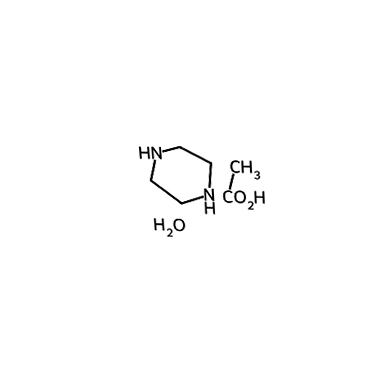 C1CNCCN1.CC(=O)O.O